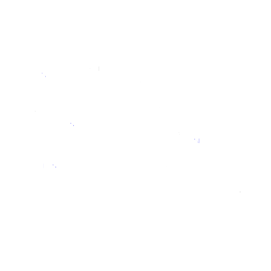 Cc1ccc(C(CCC(C)C)NC(=O)Cc2ccc3oc(C(c4c(C)noc4C)N4CC(N)C4)cc3c2)c(C(F)(F)F)c1